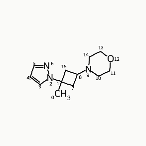 CC1(n2c[c]cn2)CC(N2CCOCC2)C1